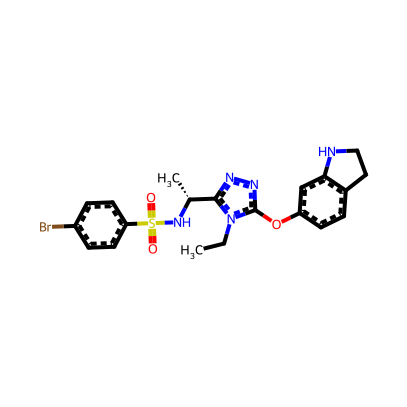 CCn1c(Oc2ccc3c(c2)NCC3)nnc1[C@@H](C)NS(=O)(=O)c1ccc(Br)cc1